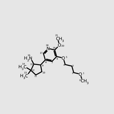 COCCCOc1cc(C2CCC(C)(C)C2N)cnc1OC